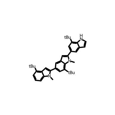 Cn1c(-c2cc(C(C)(C)C)c3c(c2)cc(-c2cc(C(C)(C)C)c4[nH]ccc4c2)n3C)cc2c(C(C)(C)C)cccc21